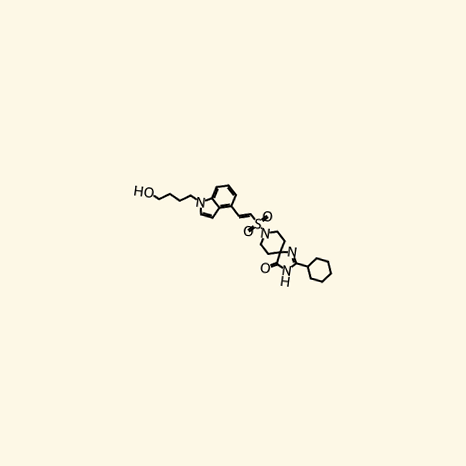 O=C1NC(C2CCCCC2)=NC12CCN(S(=O)(=O)C=Cc1cccc3c1ccn3CCCCO)CC2